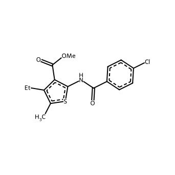 CCc1c(C)sc(NC(=O)c2ccc(Cl)cc2)c1C(=O)OC